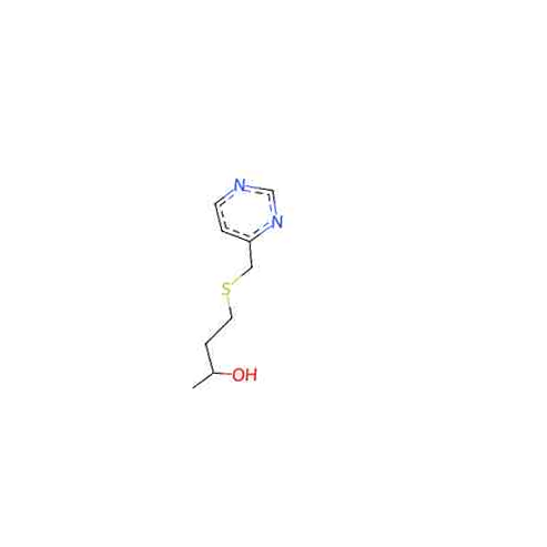 CC(O)CCSCc1ccncn1